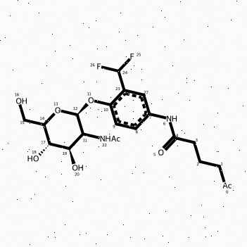 CC(=O)CCCC(=O)Nc1ccc(O[C@@H]2OC(CO)[C@@H](O)[C@H](O)C2NC(C)=O)c(C(F)F)c1